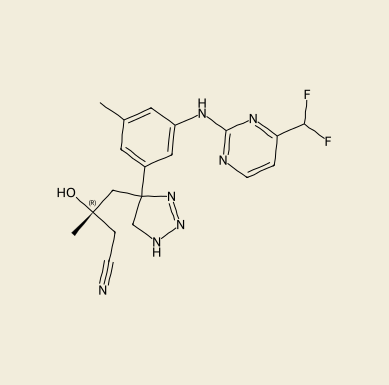 Cc1cc(Nc2nccc(C(F)F)n2)cc(C2(C[C@@](C)(O)CC#N)CNN=N2)c1